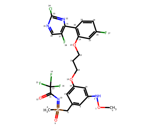 CONc1cc(CS(C)(=O)=NC(=O)C(F)(F)F)cc(OCCCOc2cc(F)ccc2-c2nc(Cl)ncc2F)c1